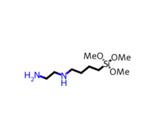 CO[Si](CCCCNCCN)(OC)OC